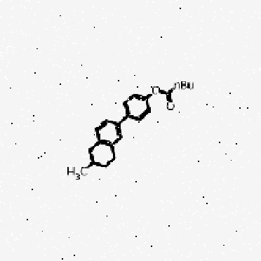 CCCCC(=O)Oc1ccc(-c2ccc3c(c2)CCC(C)C3)cc1